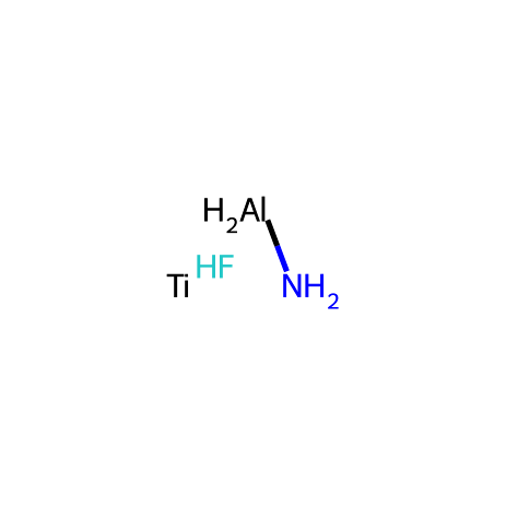 F.[NH2][AlH2].[Ti]